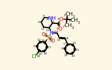 CC(C)(C)OC(=O)C1NCCCC1N(C/C=C/c1ccccc1)S(=O)(=O)c1ccc(Cl)cc1